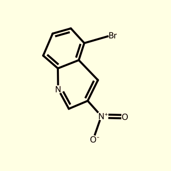 O=[N+]([O-])c1cnc2cccc(Br)c2c1